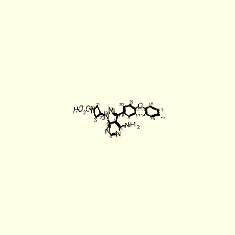 Nc1ncnc2c1c(-c1ccc(Oc3ccccc3)cc1)nn2C1CN(C(=O)O)C1